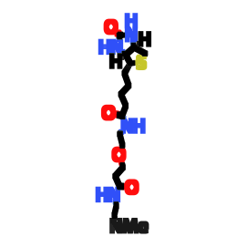 CNCCNC(=O)CCOCCNC(=O)CCCC[C@@H]1SC[C@@H]2NC(=O)N[C@@H]21